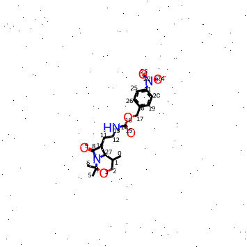 CC1COC(C)(C)N2C(=O)C(CCNC(=O)OCc3ccc([N+](=O)[O-])cc3)C12